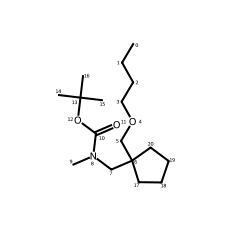 CCCCOCC1(CN(C)C(=O)OC(C)(C)C)CCCC1